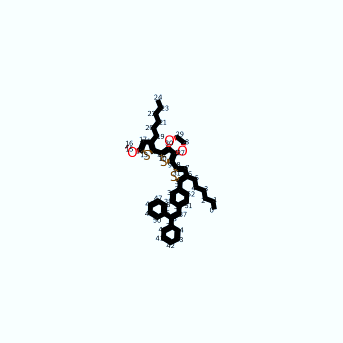 CCCCCCc1cc(-c2sc(-c3sc(OC)cc3CCCCCC)c3c2OCCO3)sc1-c1ccc(C=C(c2ccccc2)c2ccccc2)cc1